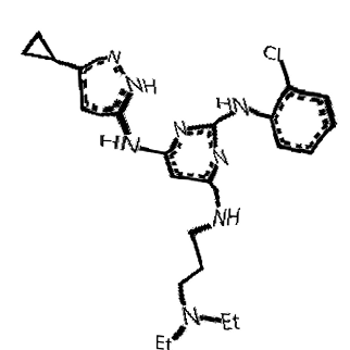 CCN(CC)CCCNc1cc(Nc2cc(C3CC3)n[nH]2)nc(Nc2ccccc2Cl)n1